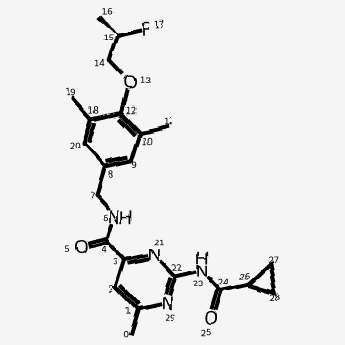 Cc1cc(C(=O)NCc2cc(C)c(OC[C@@H](C)F)c(C)c2)nc(NC(=O)C2CC2)n1